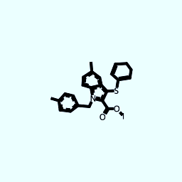 Cc1ccc(Cn2c(C(=O)OI)c(SC3=CCCC=C3)c3cc(C)ccc32)cc1